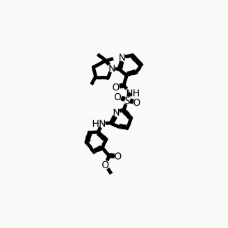 COC(=O)c1cccc(Nc2cccc(S(=O)(=O)NC(=O)c3cccnc3N3CC(C)CC3(C)C)n2)c1